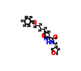 O=C(NCC1CCOC1)C1=NOC(CCCCOc2ccccc2)C1